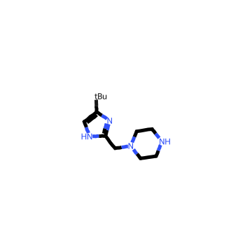 CC(C)(C)c1c[nH]c(CN2CCNCC2)n1